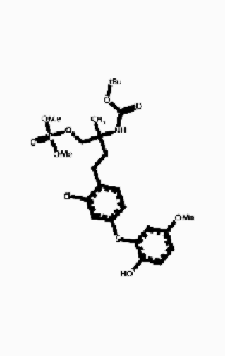 COc1ccc(O)c(Sc2ccc(CCC(C)(COP(=O)(OC)OC)NC(=O)OC(C)(C)C)c(Cl)c2)c1